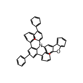 c1ccc(-c2ccc(N(c3ccc4oc5ccccc5c4c3)c3c(-c4ccccc4)cc(-c4ccccc4)cc3-c3ccccc3)cc2)cc1